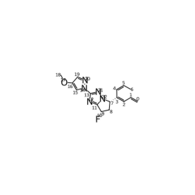 C=C/C=C(\C=C/C)[C@@H]1C[C@H](F)c2nc(-n3cc(OC)cn3)nn21